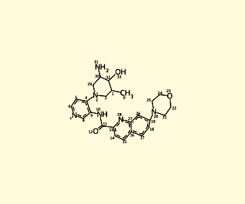 CC1CN(c2ccncc2NC(=O)c2ccc3ccc(N4CCOCC4)cc3n2)CC(N)C1O